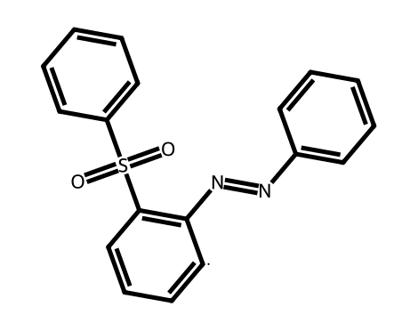 O=S(=O)(c1ccccc1)c1ccc[c]c1N=Nc1ccccc1